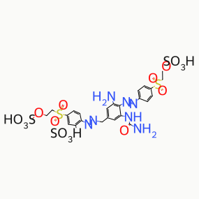 NC(=O)Nc1cc(C/N=N/c2ccc(S(=O)(=O)CCOS(=O)(=O)O)cc2S(=O)(=O)O)cc(N)c1/N=N/c1ccc(S(=O)(=O)CCOS(=O)(=O)O)cc1